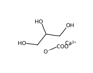 O=C([O-])[O-].OCC(O)CO.[Ca+2]